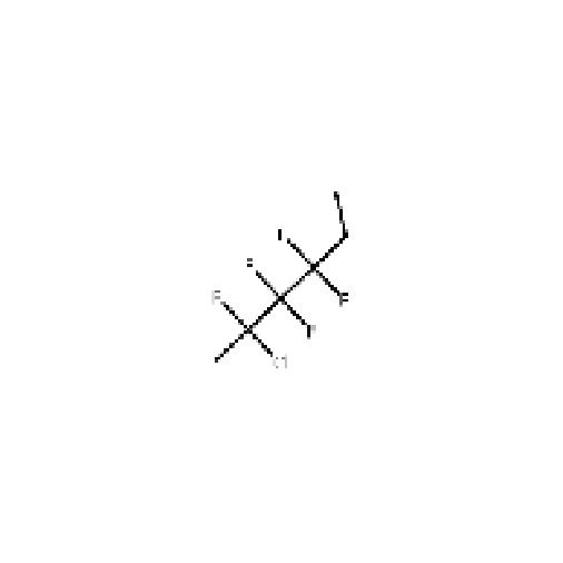 CCC(F)(F)C(F)(F)C(C)(F)Cl